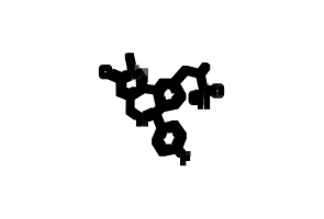 CC(Cc1ccc2c(c1)-c1nn(C)c(=O)cc1CN=C2c1ccc(F)cc1)[SH](=O)=O